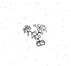 CC(C)(C)OC(=O)C(OCCC(F)(F)S(=O)(=O)O)(OC(=O)C12CC3CC(CC(C3)C1)C2)C(F)(F)F